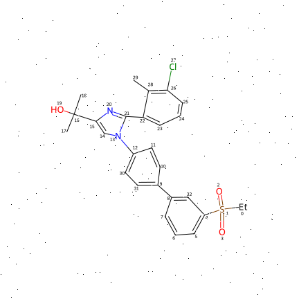 CCS(=O)(=O)c1cccc(-c2ccc(-n3cc(C(C)(C)O)nc3-c3cccc(Cl)c3C)cc2)c1